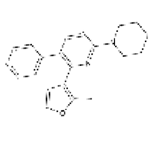 Cc1occc1-c1nc(N2CCCCC2)ncc1-c1ccncc1